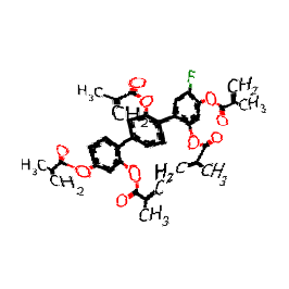 C=C(C)C(=O)Oc1ccc(-c2ccc(-c3cc(F)c(OC(=O)C(=C)C)cc3OC(=O)C(=C)C)c(OC(=O)C(=C)C)c2)c(OC(=O)C(=C)C)c1